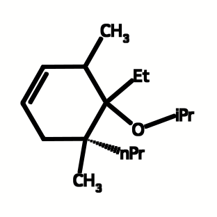 CCC[C@]1(C)CC=CC(C)C1(CC)OC(C)C